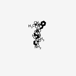 CC(C)(C)SSc1ccccc1CCOP1(=O)OC[C@H]2O[C@@H](n3ccc(N)nc3=O)[C@](C)(F)[C@@H]2O1